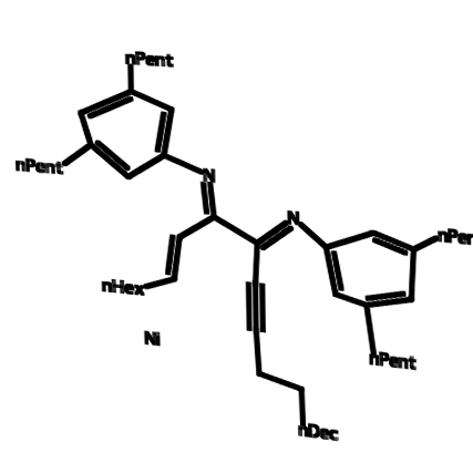 CCCCCC/C=C/C(=N\c1cc(CCCCC)cc(CCCCC)c1)C(/C#CCCCCCCCCCCCC)=N/c1cc(CCCCC)cc(CCCCC)c1.[Ni]